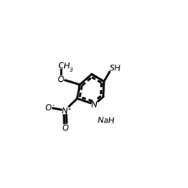 COc1cc(S)cnc1[N+](=O)[O-].[NaH]